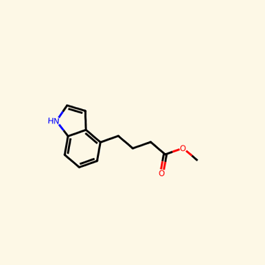 COC(=O)CCCc1cccc2[nH]ccc12